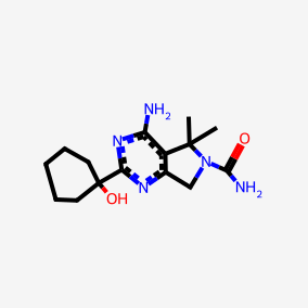 CC1(C)c2c(N)nc(C3(O)CCCCC3)nc2CN1C(N)=O